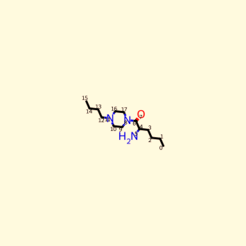 CCCCC(N)C(=O)N1CCN(CCCC)CC1